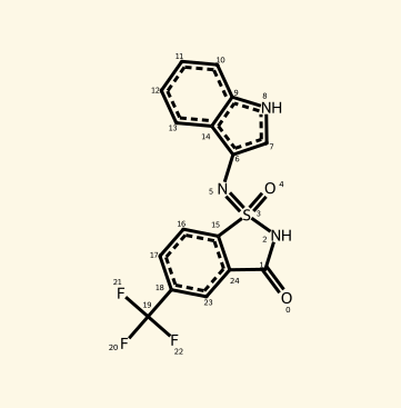 O=C1NS(=O)(=Nc2c[nH]c3ccccc23)c2ccc(C(F)(F)F)cc21